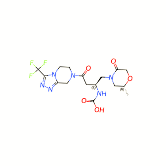 C[C@@H]1CN(C[C@H](CC(=O)N2CCn3c(nnc3C(F)(F)F)C2)NC(=O)O)C(=O)CO1